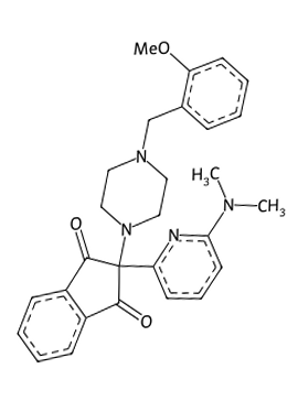 COc1ccccc1CN1CCN(C2(c3cccc(N(C)C)n3)C(=O)c3ccccc3C2=O)CC1